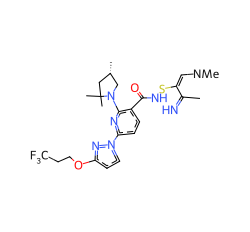 CN/C=C(/SNC(=O)c1ccc(-n2ccc(OCCC(F)(F)F)n2)nc1N1C[C@@H](C)CC1(C)C)C(C)=N